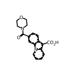 O=C(O)c1c2ccc(C(=O)N3CCOCC3)cc2n2ccccc12